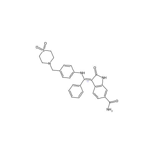 NC(=O)c1ccc2c(c1)NC(=O)/C2=C(\Nc1ccc(CN2CCS(=O)(=O)CC2)cc1)c1ccccc1